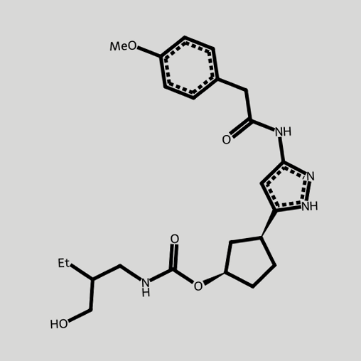 CCC(CO)CNC(=O)O[C@@H]1CC[C@H](c2cc(NC(=O)Cc3ccc(OC)cc3)n[nH]2)C1